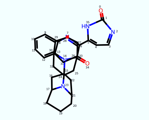 O=c1nccc(-c2nc3ccccc3n(C3CC4CCCC(C3)N4C3CC4CCCC(C4)C3)c2=O)[nH]1